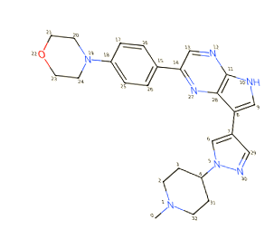 CN1CCC(n2cc(-c3c[nH]c4ncc(-c5ccc(N6CCOCC6)cc5)nc34)cn2)CC1